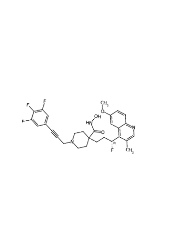 COc1ccc2ncc(C)c([C@H](F)CCC3(C(=O)NO)CCN(CC#Cc4cc(F)c(F)c(F)c4)CC3)c2c1